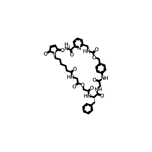 NC(=O)c1cccc(CNC(=O)OCc2ccc(NC(=O)CNC(=O)[C@H](Cc3ccccc3)NC(=O)COC(=O)CNC(=O)CCCCCN3C(=O)C=CC3=O)cc2)n1